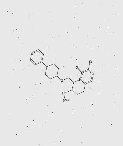 CCc1ccc2n(c1=O)C(COC1CCC(c3ccccc3)CC1)C(NSC)CC2